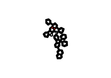 c1ccc(-c2ccc(-c3ccccc3N(c3ccc4c(c3)C(c3ccccc3)(c3ccccc3)c3cc(-c5ccc6ccccc6c5)ccc3-4)c3cccc4c3oc3ccccc34)cc2)cc1